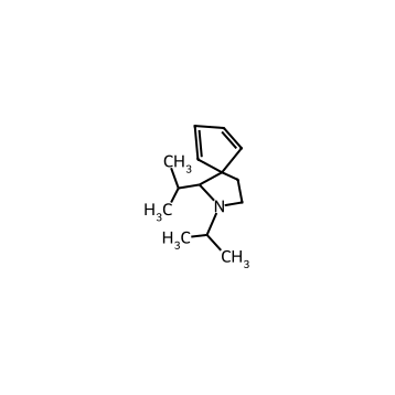 CC(C)C1N(C(C)C)CCC12C=CC=C2